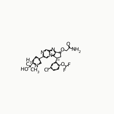 CC(C)(O)c1ccc(-c2cn3c4c(nc3cn2)[C@@H](OCC(N)=O)C[C@H]4c2cc(Cl)ccc2OC(F)F)cn1